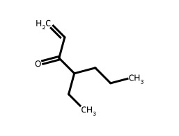 C=CC(=O)C(CC)CCC